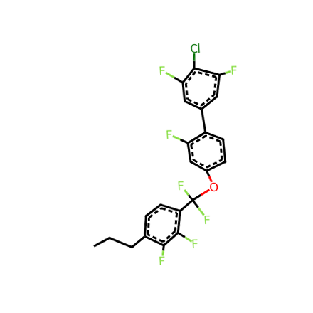 CCCc1ccc(C(F)(F)Oc2ccc(-c3cc(F)c(Cl)c(F)c3)c(F)c2)c(F)c1F